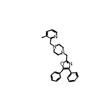 Cc1cccnc1CN1CCN(Cc2nc(-c3ccccc3)c(-c3ccccc3)o2)CC1